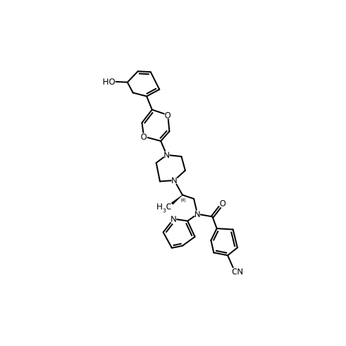 C[C@H](CN(C(=O)c1ccc(C#N)cc1)c1ccccn1)N1CCN(C2=COC(C3=CC=CC(O)C3)=CO2)CC1